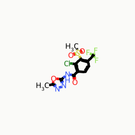 Cc1nnc(NC(=O)c2ccc(C(F)(F)F)c(S(C)(=O)=O)c2Cl)o1